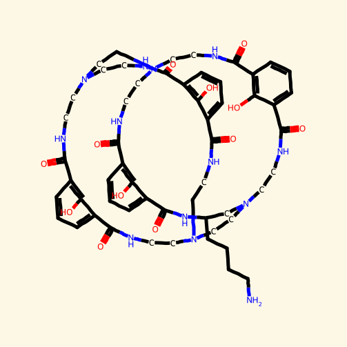 NCCCCC1CN2CCNC(=O)c3cccc(c3O)C(=O)NCCN(CCNC(=O)c3cccc(c3O)C(=O)N1)CCN1CCNC(=O)c3cccc(c3O)C(=O)NCCN(CCNC(=O)c3cccc(c3O)C(=O)NCC1)CC2